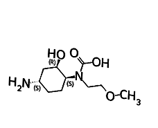 COCCN(C(=O)O)[C@H]1CC[C@H](N)C[C@H]1O